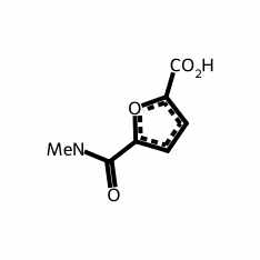 CNC(=O)c1ccc(C(=O)O)o1